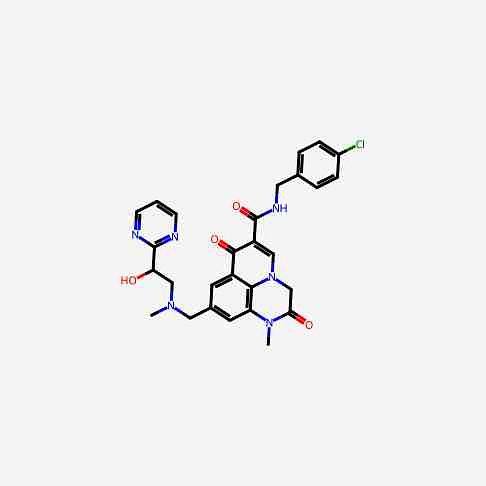 CN(Cc1cc2c3c(c1)c(=O)c(C(=O)NCc1ccc(Cl)cc1)cn3CC(=O)N2C)CC(O)c1ncccn1